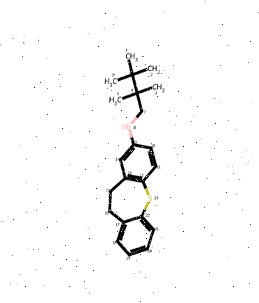 CC(C)(C)C(C)(C)CBc1ccc2c(c1)CCc1ccccc1S2